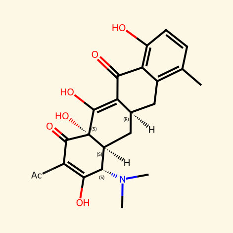 CC(=O)C1=C(O)[C@@H](N(C)C)[C@@H]2C[C@@H]3Cc4c(C)ccc(O)c4C(=O)C3=C(O)[C@]2(O)C1=O